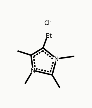 CCc1c(C)[n+](C)c(C)n1C.[Cl-]